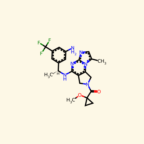 COC1(C(=O)N2Cc3c(N[C@H](C)c4cc(N)cc(C(F)(F)F)c4)nc4ncc(C)n4c3C2)CC1